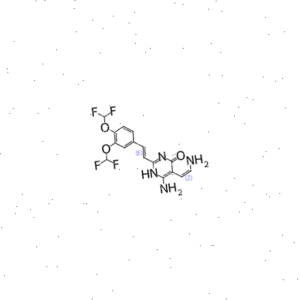 N/C=C\c1c(N)[nH]c(/C=C/c2ccc(OC(F)F)c(OC(F)F)c2)nc1=O